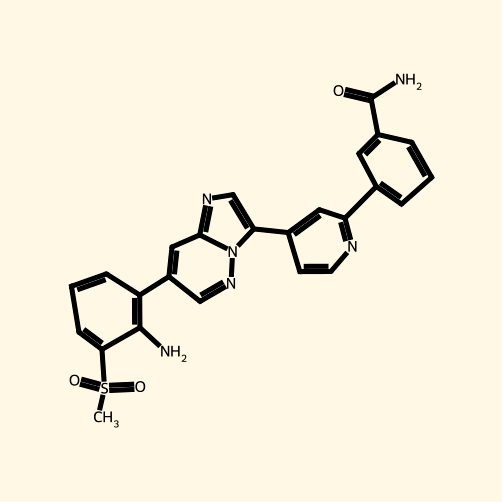 CS(=O)(=O)c1cccc(-c2cnn3c(-c4ccnc(-c5cccc(C(N)=O)c5)c4)cnc3c2)c1N